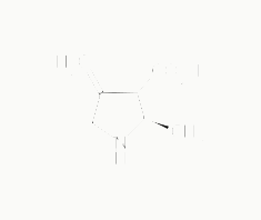 C=C1CN[C@H](C)C1C(=O)O